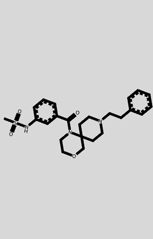 CS(=O)(=O)Nc1cccc(C(=O)N2CCOCC23CCN(CCc2ccccc2)CC3)c1